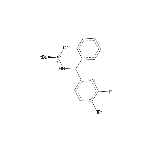 CC(C)c1ccc(C(N[S@+]([O-])C(C)(C)C)c2ccccc2)nc1F